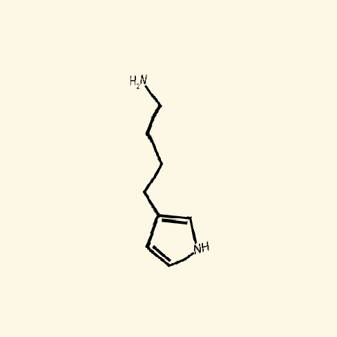 NCCCCc1cc[nH]c1